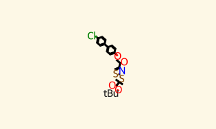 CC(C)(C)OC(=O)C(C)(C)Sc1nc(C(=O)COc2ccc(-c3ccc(Cl)cc3)cc2)cs1